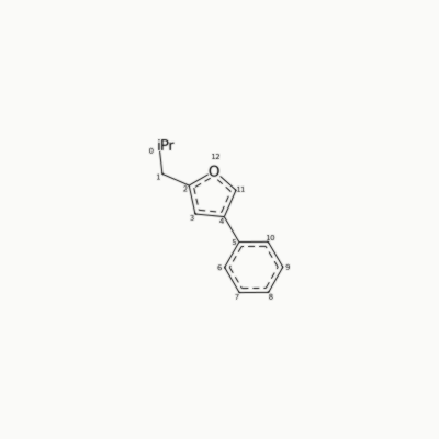 CC(C)Cc1cc(-c2ccccc2)co1